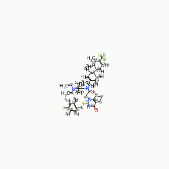 [2H]C1=C(C2=C([2H])C([2H])=C(C(F)(F)F)C(C)C2[2H])C([2H])C([2H])C(C([2H])([2H])N(C(=O)Cn2c(SCc3c([2H])c([2H])c(F)c([2H])c3[2H])nc(=O)c3c2CCC3)C([2H])([2H])C([2H])([2H])N(CC)CC)=C1[2H]